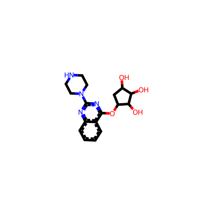 OC1CC(Oc2nc(N3CCNCC3)nc3ccccc23)C(O)C1O